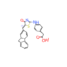 O=C(O)Cc1ccc(NC2=NC(=O)/C(=C/C3=CC4Cc5ccccc5C4C=C3)S2)cc1